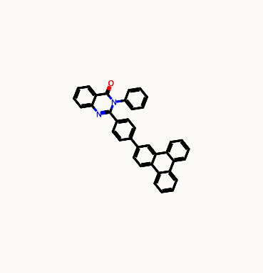 O=c1c2ccccc2nc(-c2ccc(-c3ccc4c5ccccc5c5ccccc5c4c3)cc2)n1-c1ccccc1